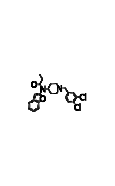 CCC(=O)N(c1cc2ccccc2o1)C1CCN(Cc2ccc(Cl)c(Cl)c2)CC1